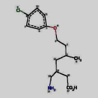 CC(CCOc1ccc(Cl)cc1)CC(CN)CC(=O)O